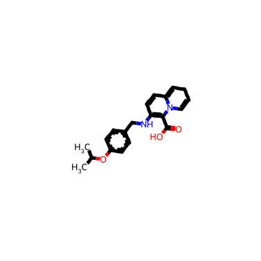 CC(C)Oc1ccc(CNC2=C(C(=O)O)N3C=CCC=C3C=C2)cc1